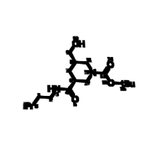 CC(C)CCNC(=O)[C@H]1C[C@@H](CO)CN(C(=O)OC(C)(C)C)C1